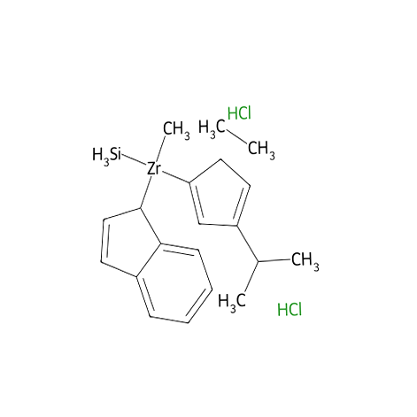 CC.CC(C)C1=CC[C]([Zr]([CH3])([SiH3])[CH]2C=Cc3ccccc32)=C1.Cl.Cl